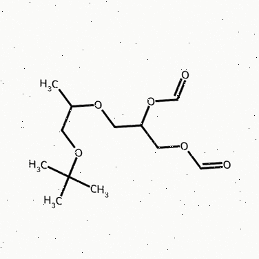 CC(COC(C)(C)C)OCC(COC=O)OC=O